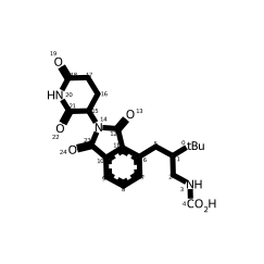 CC(C)(C)C(CNC(=O)O)Cc1cccc2c1C(=O)N(C1CCC(=O)NC1=O)C2=O